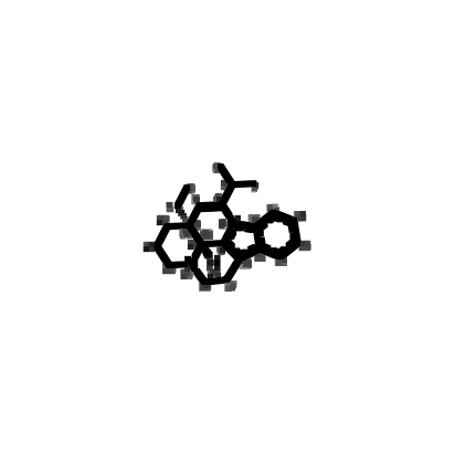 CC[C@@]12C=C(C(C)C)n3c4c(c5ccccc53)CCN(CCC1)[C@@H]42